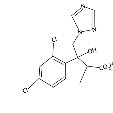 CC(C(=O)O)C(O)(Cn1cncn1)c1ccc(Cl)cc1Cl